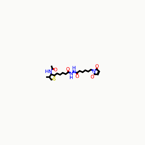 CC(=O)NC1C(C)CSC1CCCCC(=O)NNC(=O)CCCCCN1C(=O)C=CC1=O